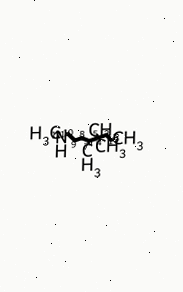 CCCC(C)(C)[C@@H](C)CCCNC